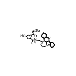 CC(C)(C)OC(=O)N1C[C@H](O)CC1C(=O)NCCN1CCCn2c3ccccc3c3nc4ccccc4c1c32